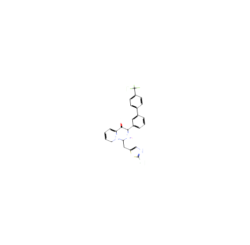 O=C1C2=CC=CCN2C(Cc2cnc(Cl)s2)N(O)C1c1cccc(-c2ccc(C(F)(F)F)cc2)c1